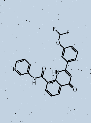 O=C(Nc1cccnc1)c1cccc2c(=O)cc(-c3cccc(OC(F)F)c3)[nH]c12